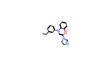 CCc1cccc(N2C=C(N3C=NCC3)Oc3ccccc32)c1